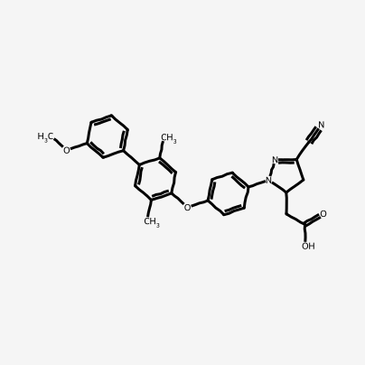 COc1cccc(-c2cc(C)c(Oc3ccc(N4N=C(C#N)CC4CC(=O)O)cc3)cc2C)c1